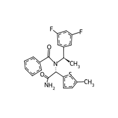 Cc1ccc([C@H](C(N)=O)N(C(=O)c2ccccc2)[C@H](C)c2cc(F)cc(F)c2)s1